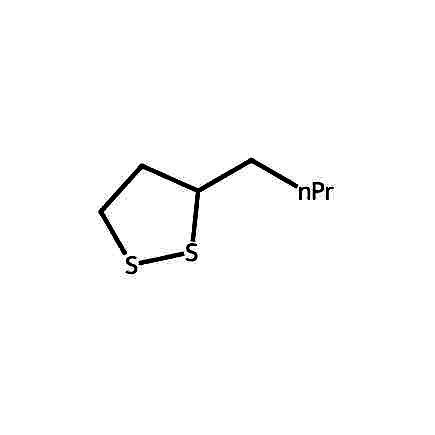 [CH2]CCCC1CCSS1